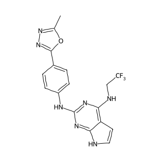 Cc1nnc(-c2ccc(Nc3nc(NCC(F)(F)F)c4cc[nH]c4n3)cc2)o1